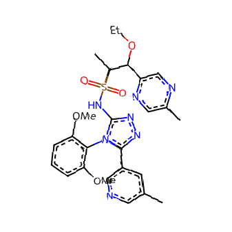 CCOC(c1cnc(C)cn1)C(C)S(=O)(=O)Nc1nnc(-c2cncc(C)c2)n1-c1c(OC)cccc1OC